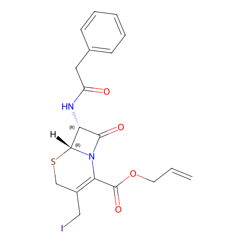 C=CCOC(=O)C1=C(CI)CS[C@@H]2[C@H](NC(=O)Cc3ccccc3)C(=O)N12